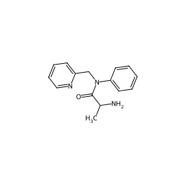 CC(N)C(=O)N(Cc1ccccn1)c1ccccc1